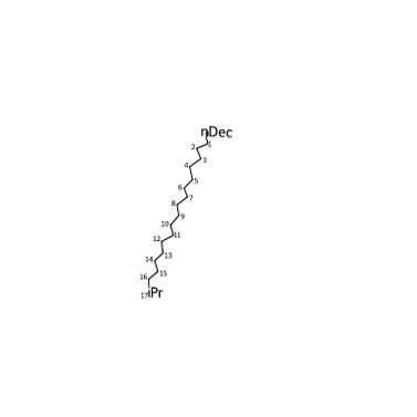 CCCCCCCCCCCCCCCCCCCCCCCCCCC(C)C